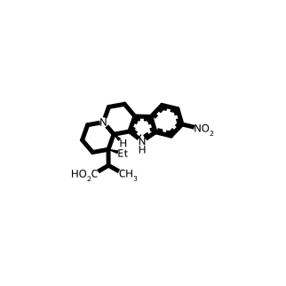 CC[C@@]1(C(C)C(=O)O)CCCN2CCc3c([nH]c4cc([N+](=O)[O-])ccc34)[C@@H]21